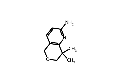 CC1(C)COCc2ccc(N)nc21